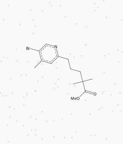 COC(=O)C(C)(C)CCCc1cc(C)c(Br)cn1